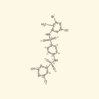 Cc1c(Br)cc(Cl)cc1NS(=O)(=O)c1ccc(NS(=O)(=O)c2cc(Cl)cc(Cl)c2)cc1